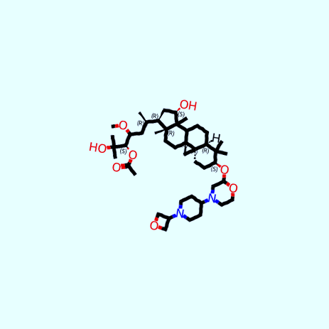 COC(C[C@@H](C)[C@H]1C[C@H](O)C2(C)C3CC[C@H]4C(C)(C)[C@@H](OC5CN(C6CCN(C7COC7)CC6)CCO5)CC[C@@]45C[C@@]35CC[C@]12C)[C@H](OC(C)=O)C(C)(C)O